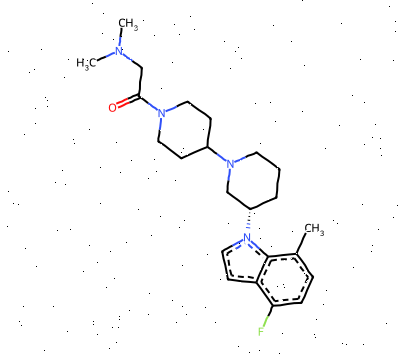 Cc1ccc(F)c2ccn([C@H]3CCCN(C4CCN(C(=O)CN(C)C)CC4)C3)c12